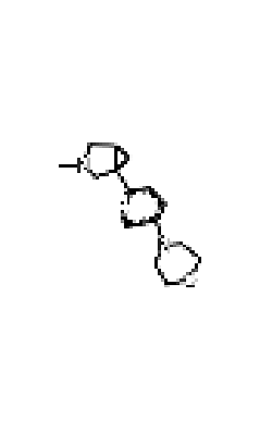 CN1CC2CC2(c2ccc(N3CCOCC3)cc2)C1